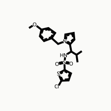 COc1ccc(Cn2cccc2C(NS(=O)(=O)c2ccc(Cl)s2)C(C)C)cc1